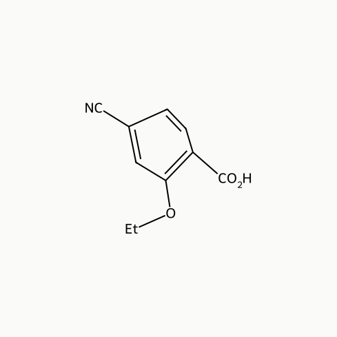 CCOc1cc(C#N)ccc1C(=O)O